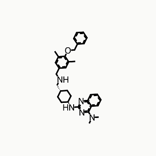 Cc1cc(CNC[C@H]2CC[C@@H](Nc3nc(N(C)C)c4ccccc4n3)CC2)cc(C)c1OCc1ccccc1